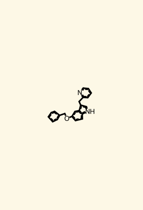 c1ccc(COc2ccc3[nH]cc(Cc4ccccn4)c3c2)cc1